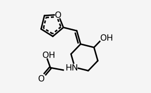 CC(=O)O.OC1CCNC/C1=C\c1ccco1